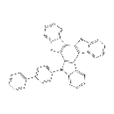 c1ccc(-c2ccc(-n3c4ccccc4c4c5c6ccccc6sc5c5c6ncncc6sc5c43)cc2)cc1